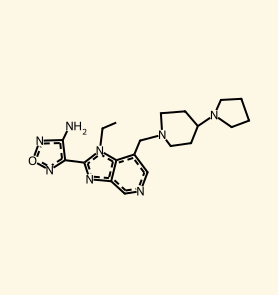 CCn1c(-c2nonc2N)nc2cncc(CN3CCC(N4CCCC4)CC3)c21